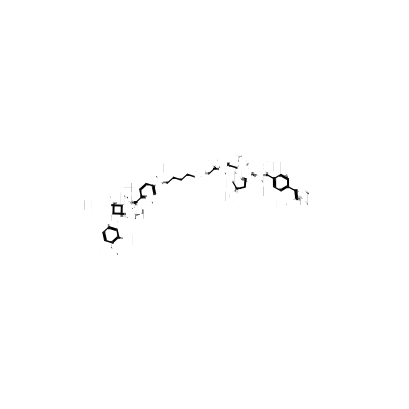 Cc1ncsc1-c1ccc(C(C)NC(=O)[C@@H]2C[C@@H](O)CN2C(=O)C(NC(=O)COCCCCCNc2ccc(C(=O)N[C@H]3C(C)(C)[C@H](Oc4ccc(C#N)c(Cl)c4)C3(C)C)nc2)C(C)C)cc1